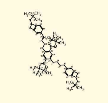 CC(C)(C)CC1Cc2cc(CCCCc3cc(B4OC(C)(C)C(C)(C)O4)c(CCCCc4ccc5c(c4)CC5CC(C)(C)C)cc3B3OC(C)(C)C(C)(C)O3)ccc21